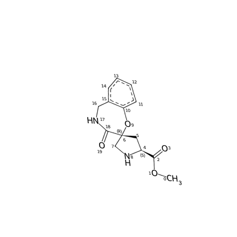 COC(=O)[C@@H]1C[C@]2(CN1)Oc1ccccc1CNC2=O